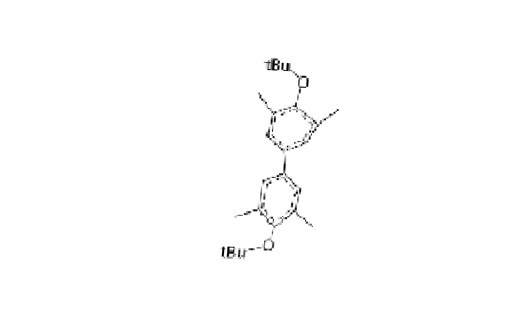 Cc1cc(-c2cc(C)c(OC(C)(C)C)c(C)c2)cc(C)c1OC(C)(C)C